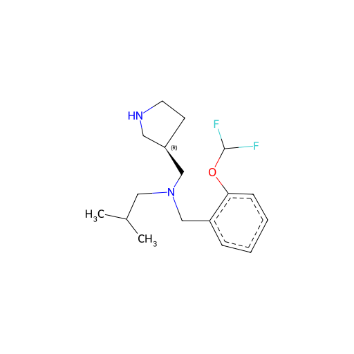 CC(C)CN(Cc1ccccc1OC(F)F)C[C@@H]1CCNC1